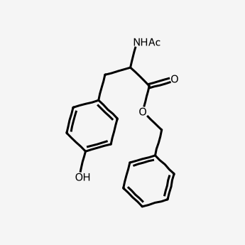 CC(=O)NC(Cc1ccc(O)cc1)C(=O)OCc1ccccc1